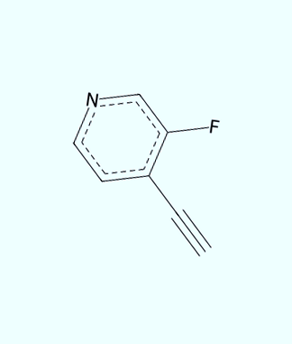 C#Cc1ccncc1F